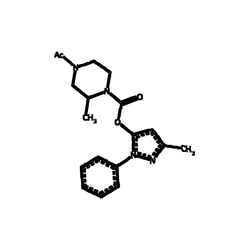 CC(=O)N1CCN(C(=O)Oc2cc(C)nn2-c2ccccc2)C(C)C1